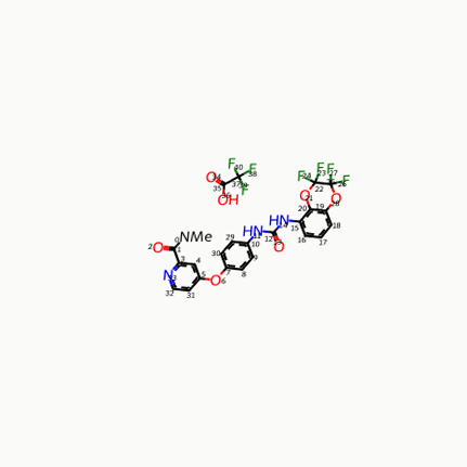 CNC(=O)c1cc(Oc2ccc(NC(=O)Nc3cccc4c3OC(F)(F)C(F)(F)O4)cc2)ccn1.O=C(O)C(F)(F)F